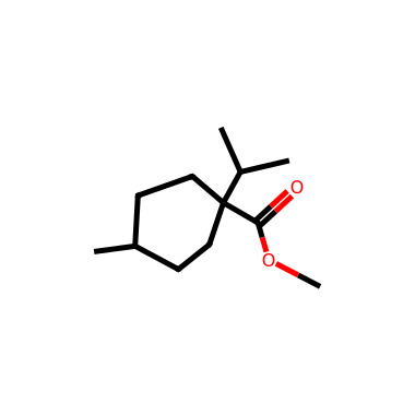 COC(=O)C1(C(C)C)CCC(C)CC1